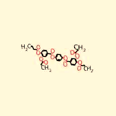 C=CCC(=O)Oc1ccc(C(=O)Oc2ccc(OC(=O)c3ccc(OC(=O)C=C)c(OC(=O)C=C)c3)cc2)cc1OC(=O)C=C